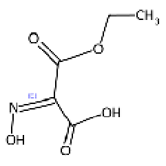 CCOC(=O)/C(=N/O)C(=O)O